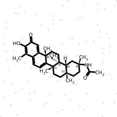 CC[C@@]12CC[C@@]3(C)C4=CC(=O)C(O)=C(C)C4=CC=C3[C@@]1(C)CC[C@@]1(C)CC[C@@](C)(NC(C)=O)C[C@H]12